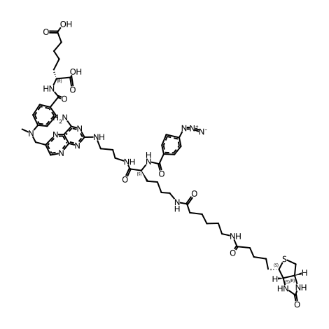 CN(Cc1cnc2nc(NCCCNC(=O)[C@H](CCCCNC(=O)CCCCCNC(=O)CCCC[C@@H]3SC[C@@H]4NC(=O)N[C@@H]43)NC(=O)c3ccc(N=[N+]=[N-])cc3)nc(N)c2n1)c1ccc(C(=O)N[C@H](CCCCC(=O)O)C(=O)O)cc1